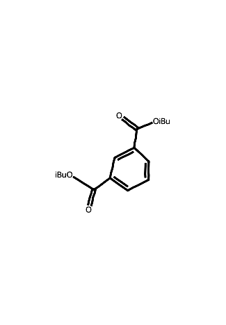 CC(C)COC(=O)c1cccc(C(=O)OCC(C)C)c1